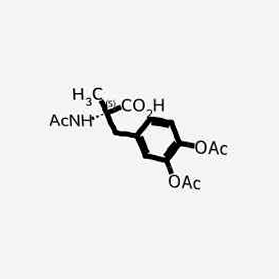 CC(=O)N[C@@](C)(Cc1ccc(OC(C)=O)c(OC(C)=O)c1)C(=O)O